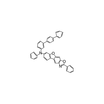 c1ccc(-c2ccc(-c3cccc(N(c4ccccc4)c4ccc5c(c4)oc4cc6oc(-c7ccccc7)nc6cc45)c3)cc2)cc1